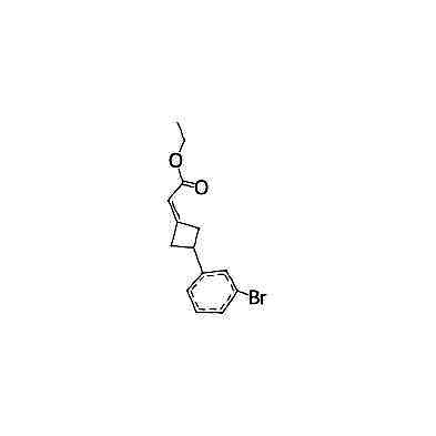 CCOC(=O)C=C1CC(c2cccc(Br)c2)C1